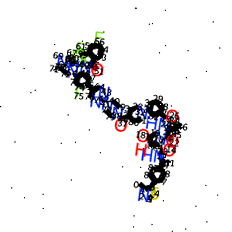 Cc1ncsc1-c1ccc([C@H](C)NC(=O)[C@@H]2C[C@@H](O)CN2C(=O)[C@@H](NC(=O)c2cccc(N3CCC(C(=O)N4CCN(c5ncc(-c6cc(NC(=O)c7ccc(F)cc7C(F)(F)F)c(N7C[C@@H](C)N(C)[C@@H](C)C7)cc6F)cn5)CC4)CC3)c2)C(C)(C)C)cc1